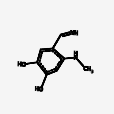 CNc1cc(O)c(O)cc1C=N